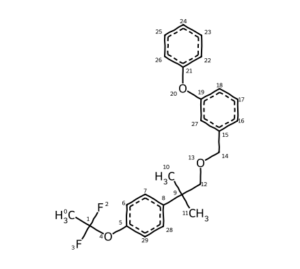 CC(F)(F)Oc1ccc(C(C)(C)COCc2cccc(Oc3ccccc3)c2)cc1